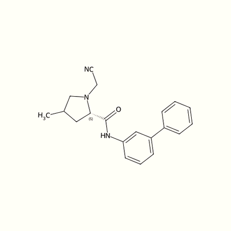 CC1C[C@@H](C(=O)Nc2cccc(-c3ccccc3)c2)N(CC#N)C1